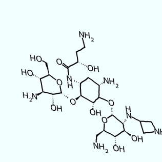 NCC[C@H](O)C(=O)N[C@@H]1C[C@H](N)C(O[C@H]2O[C@H](CN)[C@@H](O)[C@H](O)[C@H]2NC2CNC2)[C@H](O)[C@H]1O[C@H]1O[C@H](CO)[C@@H](O)[C@H](N)[C@H]1O